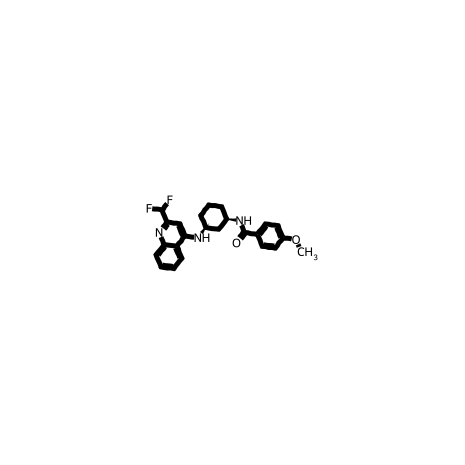 COc1ccc(C(=O)N[C@@H]2CCC[C@H](Nc3cc(C(F)F)nc4ccccc34)C2)cc1